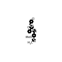 COc1cc(-c2cn(-c3cnn(Cc4ccc(Cl)cc4)c(=O)c3-c3ccccc3)nn2)ccc1-n1cnc(C)c1